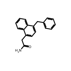 NC(=O)Cc1ccc(Cc2ccccc2)c2ccccc12